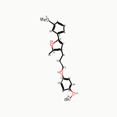 COc1cccc(-c2cc(CCCOc3ccc(OC(C)(C)C)cc3)c(C)o2)c1